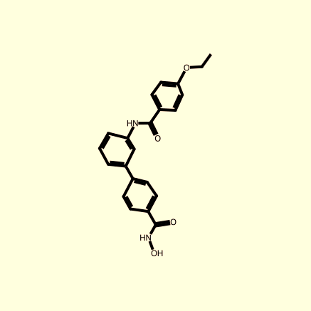 CCOc1ccc(C(=O)Nc2cccc(-c3ccc(C(=O)NO)cc3)c2)cc1